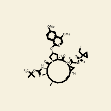 COc1ccc2c(O[C@@H]3C[C@H]4C(=O)N[C@]5(C(=O)NS(=O)(=O)C6(CF)CC6)C[C@H]5/C=C\CC[C@@H](C)C[C@@H](C)[C@H](NC(=O)OC(C)(C)C(F)(F)F)C(=O)N4C3)ncc(OC)c2c1